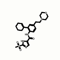 CS(=O)(=O)c1ncc(C(=O)Nc2ccc(CCN3CCOCC3)cc2C2=CCCCC2)[nH]1